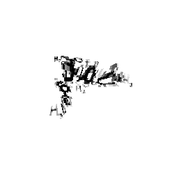 CC(Oc1cc(-n2cnc3cc(-c4cnn(C)c4)ccc32)sc1C(N)=O)c1c(F)ccc(OC2CCN(C)CC2)c1Cl